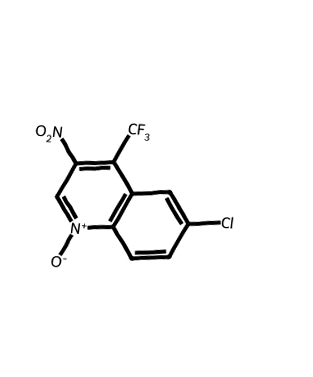 O=[N+]([O-])c1c[n+]([O-])c2ccc(Cl)cc2c1C(F)(F)F